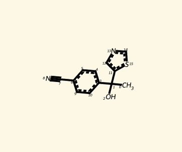 CC(O)(c1ccc(C#N)cc1)c1cncs1